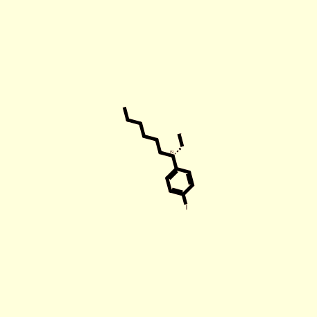 [CH2]C[C@@H](CCCCCC)c1ccc(I)cc1